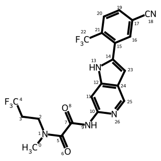 CN(CCC(F)(F)F)C(=O)C(=O)Nc1cc2[nH]c(-c3cc(C#N)ccc3C(F)(F)F)cc2cn1